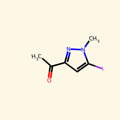 CC(=O)c1cc(I)n(C)n1